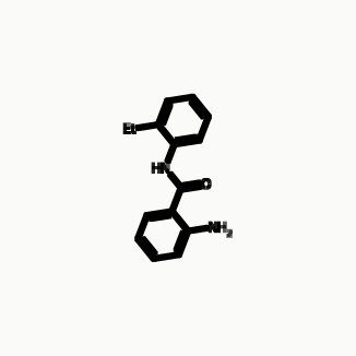 CCc1ccccc1NC(=O)c1ccccc1N